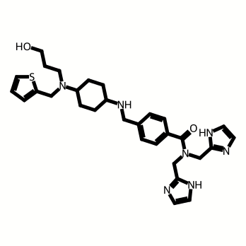 O=C(c1ccc(CNC2CCC(N(CCCO)Cc3cccs3)CC2)cc1)N(Cc1ncc[nH]1)Cc1ncc[nH]1